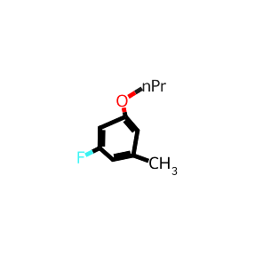 CCCOc1cc(C)cc(F)c1